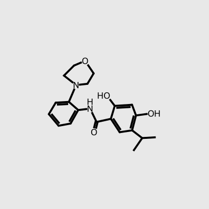 CC(C)c1cc(C(=O)Nc2ccccc2N2CCOCC2)c(O)cc1O